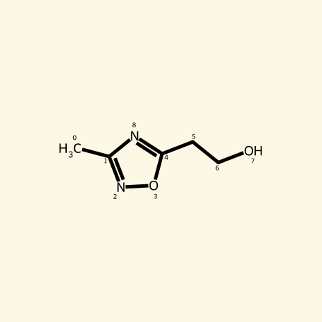 Cc1noc(CCO)n1